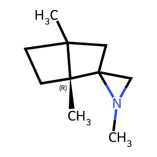 CN1CC12CC1(C)CC[C@]12C